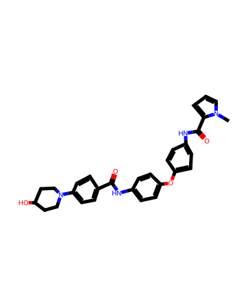 Cn1cccc1C(=O)Nc1ccc(Oc2ccc(NC(=O)c3ccc(N4CCC(O)CC4)cc3)cc2)cc1